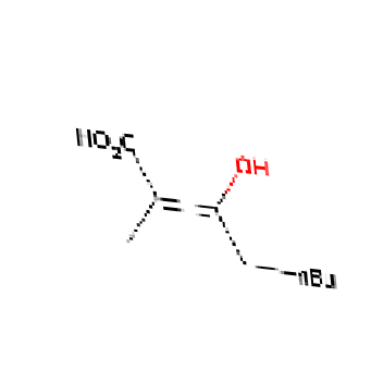 CCCCCC(O)=C(C)C(=O)O